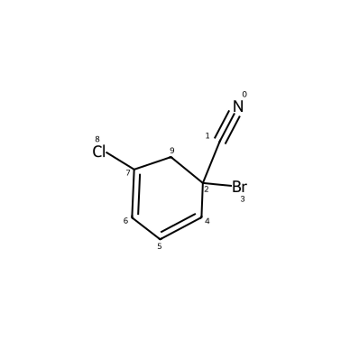 N#CC1(Br)C=CC=C(Cl)C1